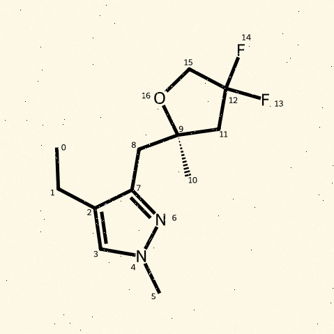 CCc1cn(C)nc1C[C@]1(C)CC(F)(F)CO1